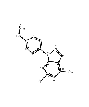 COc1ccc(-n2ncc3c(Cl)nc(Cl)nc32)cc1